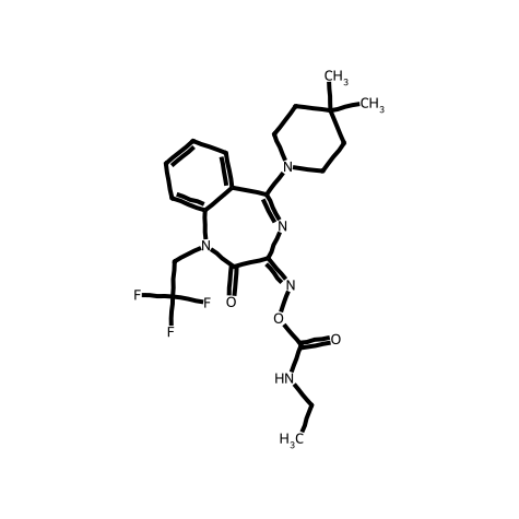 CCNC(=O)ON=c1nc(N2CCC(C)(C)CC2)c2ccccc2n(CC(F)(F)F)c1=O